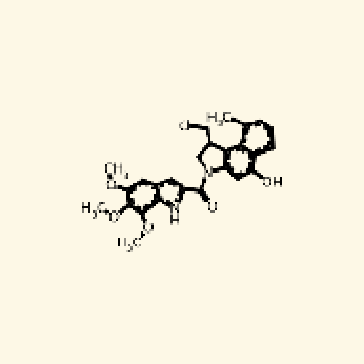 COc1cc2cc(C(=O)N3C[C@@H](CCl)c4c3cc(O)c3cccc(C)c43)[nH]c2c(OC)c1OC